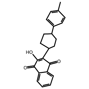 Cc1ccc(C2CCC(C3=C(O)C(=O)c4ccccc4C3=O)CC2)cc1